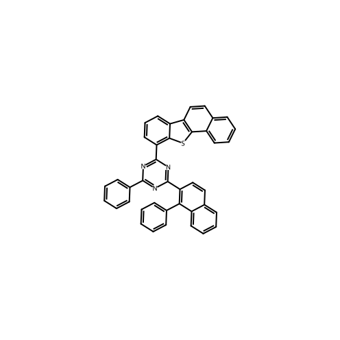 c1ccc(-c2nc(-c3ccc4ccccc4c3-c3ccccc3)nc(-c3cccc4c3sc3c5ccccc5ccc43)n2)cc1